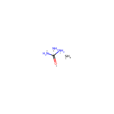 N.NC(N)=O.[SiH4]